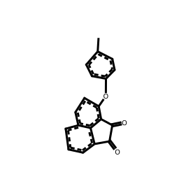 Cc1ccc(Oc2ccc3cccc4c3c2C(=O)C4=O)cc1